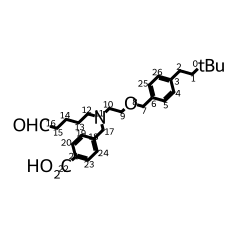 CC(C)(C)CCc1ccc(COCCN(CCCCC=O)Cc2ccc(C(=O)O)cc2)cc1